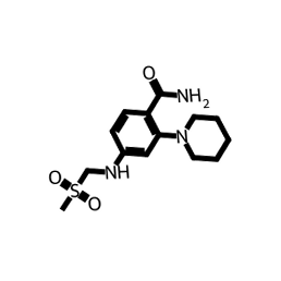 CS(=O)(=O)CNc1ccc(C(N)=O)c(N2CCCCC2)c1